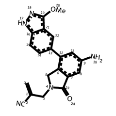 C=C(C#N)CN1Cc2c(cc(N)cc2-c2ccc3[nH]nc(OC)c3c2)C1=O